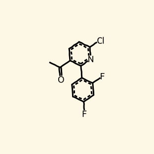 CC(=O)c1ccc(Cl)nc1-c1ccc(F)cc1F